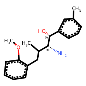 COc1ccccc1CC(C)[C@@H](N)[C@H](O)c1cccc(C)c1